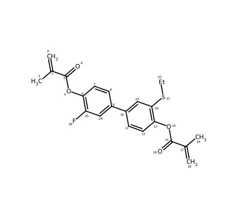 C=C(C)C(=O)Oc1ccc(-c2ccc(OC(=O)C(=C)C)c(SCC)c2)cc1F